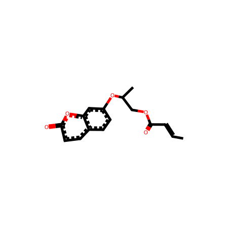 CC=CC(=O)OCC(C)Oc1ccc2ccc(=O)oc2c1